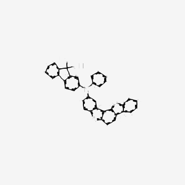 CC1(C)c2ccccc2-c2ccc(N(c3ccccc3)c3ccc4sc5ccc6c7ccccc7oc6c5c4c3)cc21